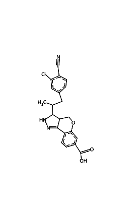 CC(Cc1ccc(C#N)c(Cl)c1)C1NN=C2c3ccc(C(=O)O)cc3OCC21